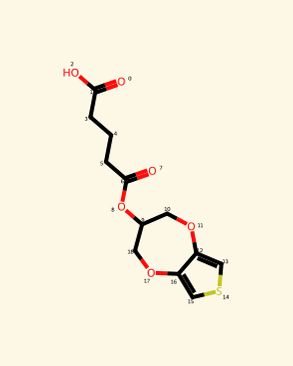 O=C(O)CCCC(=O)OC1COc2cscc2OC1